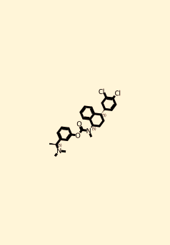 C[C@@H](c1cccc(OC(=O)N(C)[C@H]2CC[C@@H](C3C=CC(Cl)=C(Cl)C3)c3ccccc32)c1)N(C)C